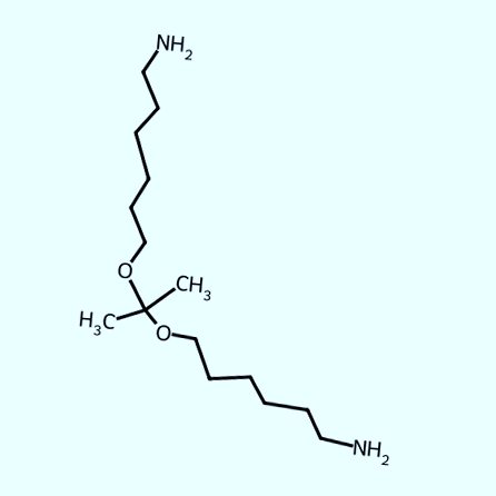 CC(C)(OCCCCCCN)OCCCCCCN